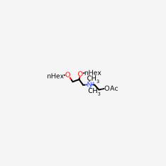 CCCCCCOCC(C[N+](C)(C)CCOC(C)=O)OCCCCCC